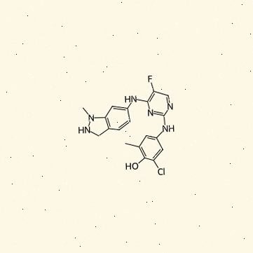 Cc1cc(Nc2ncc(F)c(Nc3ccc4c(c3)N(C)NC4)n2)cc(Cl)c1O